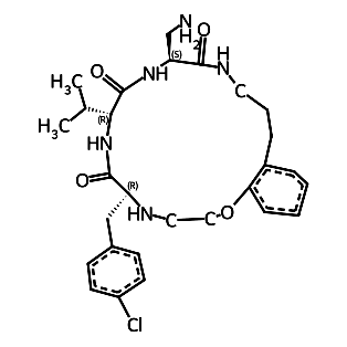 CC(C)[C@H]1NC(=O)[C@@H](Cc2ccc(Cl)cc2)NCCOc2ccccc2CCCNC(=O)[C@H](CN)NC1=O